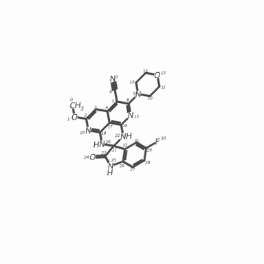 COc1cc2c(C#N)c(N3CCOCC3)nc3c2c(n1)NC1(N3)C(=O)Nc2ccc(F)cc21